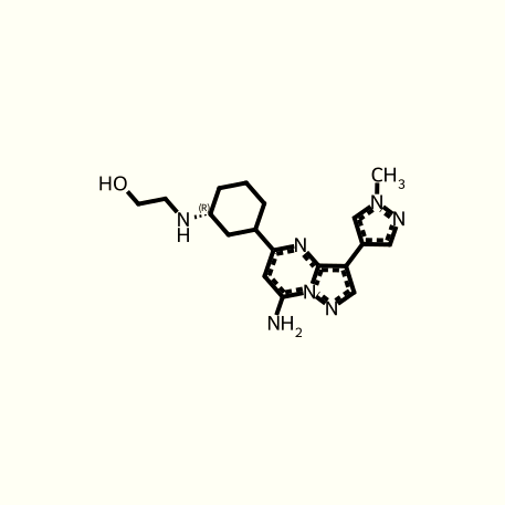 Cn1cc(-c2cnn3c(N)cc(C4CCC[C@@H](NCCO)C4)nc23)cn1